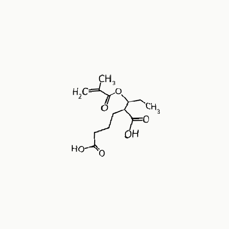 C=C(C)C(=O)OC(CC)C(CCCC(=O)O)C(=O)O